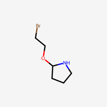 BrCCOC1CCCN1